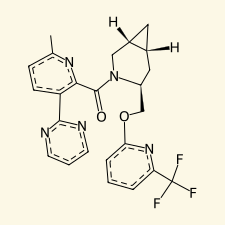 Cc1ccc(-c2ncccn2)c(C(=O)N2C[C@@H]3C[C@@H]3C[C@H]2COc2cccc(C(F)(F)F)n2)n1